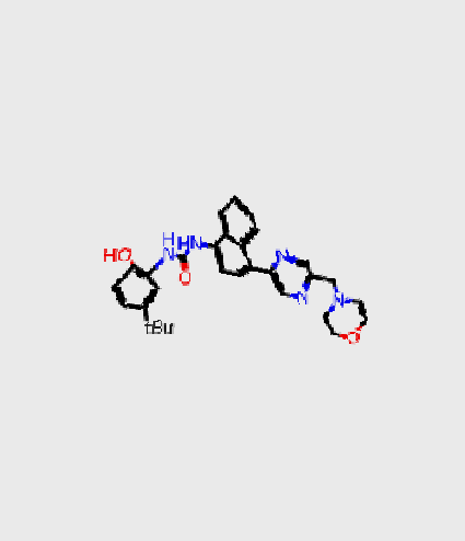 CC(C)(C)c1ccc(O)c(NC(=O)Nc2ccc(-c3cnc(CN4CCOCC4)cn3)c3ccccc23)c1